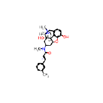 CN(C(=O)/C=C/c1cccc(C(F)(F)F)c1)C1CC2Oc3c(O)ccc4c3[C@@]23CCN(C)[C@H](C4)[C@]3(O)C1